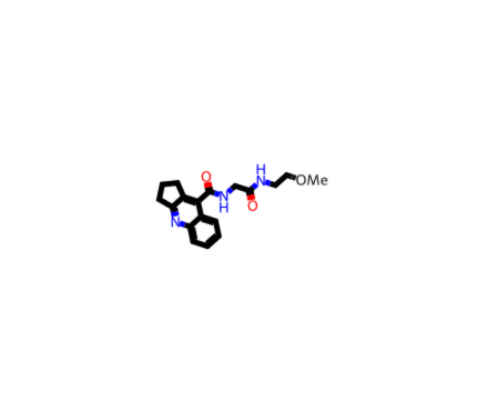 COCCNC(=O)CNC(=O)c1c2c(nc3ccccc13)CCC2